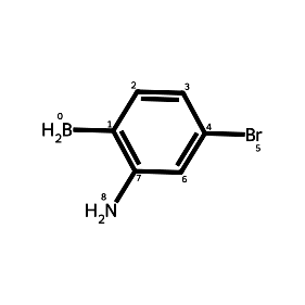 Bc1ccc(Br)cc1N